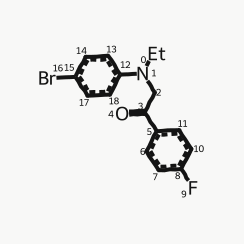 CCN(CC(=O)c1ccc(F)cc1)c1ccc(Br)cc1